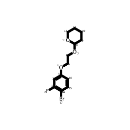 Fc1cc(OCCOC2CCCCO2)ccc1Br